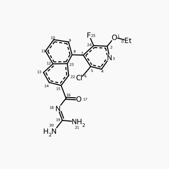 CCOc1ncc(Cl)c(-c2cccc3ccc(C(=O)N=C(N)N)cc23)c1F